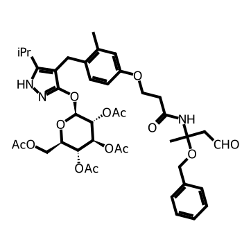 CC(=O)OC[C@H]1O[C@@H](Oc2n[nH]c(C(C)C)c2Cc2ccc(OCCC(=O)NC(C)(CC=O)OCc3ccccc3)cc2C)[C@H](OC(C)=O)[C@@H](OC(C)=O)[C@@H]1OC(C)=O